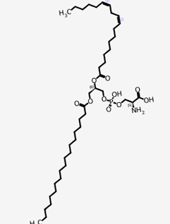 CCCCC/C=C\C/C=C\CCCCCCCC(=O)O[C@H](COC(=O)CCCCCCCCCCCCCCCCCC)COP(=O)(O)OC[C@H](N)C(=O)O